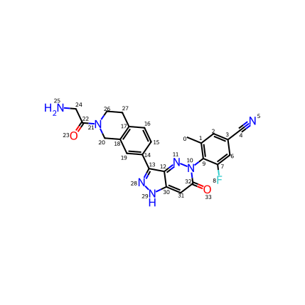 Cc1cc(C#N)cc(F)c1-n1nc2c(-c3ccc4c(c3)CN(C(=O)CN)CC4)n[nH]c2cc1=O